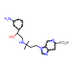 CC(C)(CCn1cnc2cc(C(=O)O)ncc21)NCC(O)c1cccc(N)c1